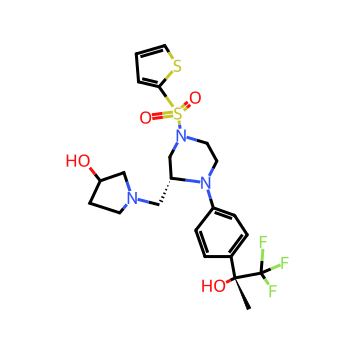 C[C@@](O)(c1ccc(N2CCN(S(=O)(=O)c3cccs3)C[C@H]2CN2CCC(O)C2)cc1)C(F)(F)F